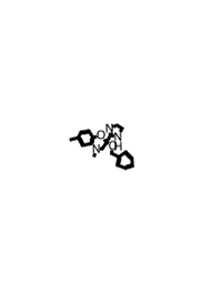 Cc1ccc2c(c1)N(C)CC(OCc1ccccc1)(C1=NCCN1)O2